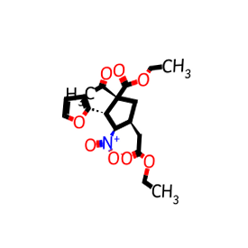 CCOC(=O)C[C@@H]1C[C@@](C(C)=O)(C(=O)OCC)[C@@H](c2ccco2)[C@@H]1[N+](=O)[O-]